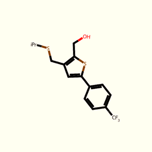 CC(C)SCc1cc(-c2ccc(C(F)(F)F)cc2)sc1CO